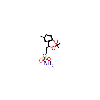 Cc1ccc2c(c1)C(CCOS(N)(=O)=O)OC(C)(C)O2